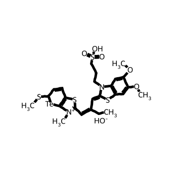 CCC(=Cc1sc2c([n+]1C)[Te]C(SC)C=C2)C=C1Sc2cc(OC)c(OC)cc2N1CCCS(=O)(=O)O.[OH-]